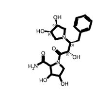 NC(=O)C1C(O)C(O)CN1C(=O)[C@@H](O)[C@H](Cc1ccccc1)N1C[C@@H](O)[C@@H](O)C1